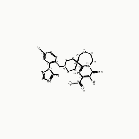 Cc1ncnn1-c1cc(F)ccc1CN1CCC2(CC1)COCCn1c2nc(C(N)=O)c(O)c1=O